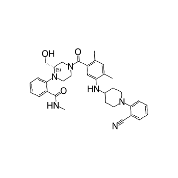 CNC(=O)c1ccccc1N1CCN(C(=O)c2cc(NC3CCN(c4ccccc4C#N)CC3)c(C)cc2C)C[C@H]1CO